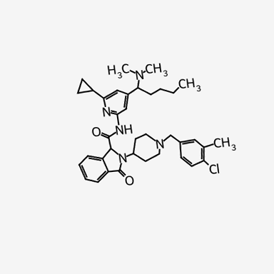 CCCCC(c1cc(NC(=O)C2c3ccccc3C(=O)N2C2CCN(Cc3ccc(Cl)c(C)c3)CC2)nc(C2CC2)c1)N(C)C